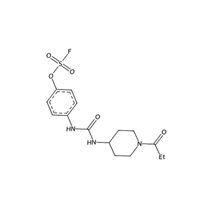 CCC(=O)N1CCC(NC(=O)Nc2ccc(OS(=O)(=O)F)cc2)CC1